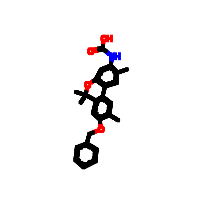 Cc1cc2c(cc1NC(=O)O)OC(C)(C)c1cc(OCc3ccccc3)c(C)cc1-2